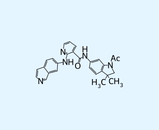 CC(=O)N1CC(C)(C)c2ccc(NC(=O)c3cccnc3Nc3ccc4ccncc4c3)cc21